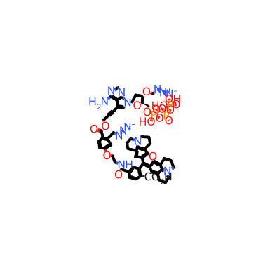 [N-]=[N+]=NCOC1C[C@H](n2cc(C#CCOC(=O)c3ccc(OCCNC(=O)c4ccc(C(=O)O)c(C5=c6cc7c8c(c6Oc6c5cc5c9c6CCCN9CCC5)CCC[N+]=8CCC7)c4)cc3CN=[N+]=[N-])c3c(N)ncnc32)O[C@@H]1COP(=O)(O)OP(=O)([O-])OP(=O)(O)O